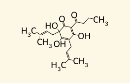 CCCC(=O)C1=C(O)C(CC=C(C)C)=C(O)C(O)(CC=C(C)C)C1=O